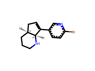 Brc1ccc(C2=CC[C@@H]3CCCN[C@H]23)cn1